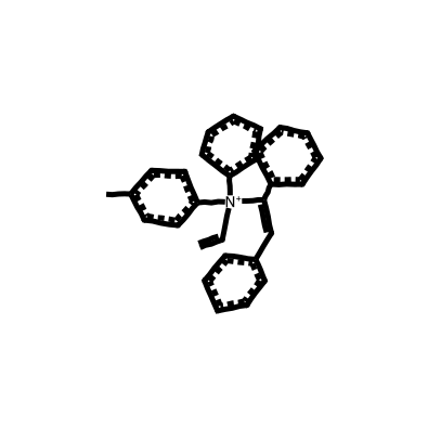 C=C[N+](C(=Cc1ccccc1)c1ccccc1)(c1ccccc1)c1ccc(C)cc1